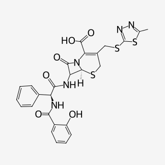 Cc1nnc(SCC2=C(C(=O)O)N3C(=O)C(NC(=O)[C@@H](NC(=O)c4ccccc4O)c4ccccc4)[C@@H]3SC2)s1